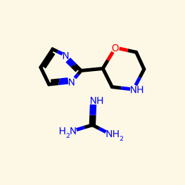 N=C(N)N.c1cnc(C2CNCCO2)nc1